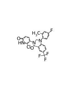 Cc1cc(F)ccc1N1CN(c2ccc(=O)[nH]c2Cl)C(=O)c2cc(C(F)(F)F)ccc21